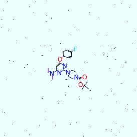 CC(C)(C)OC(=O)N1CCN(c2nc(Oc3ccc(F)cc3)cc(N(I)I)n2)CC1